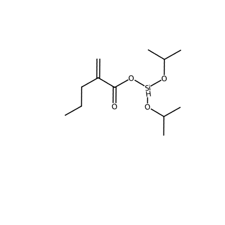 C=C(CCC)C(=O)O[SiH](OC(C)C)OC(C)C